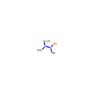 CCOC(=O)N(C=O)N(O)C(C)(C)C